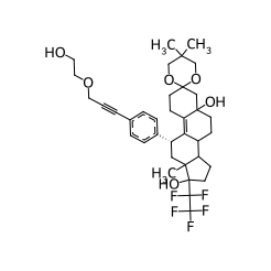 CC1(C)COC2(CCC3=C4C(CCC3(O)C2)C2CCC(O)(C(F)(F)C(F)(F)F)C2(C)C[C@@H]4c2ccc(C#CCOCCO)cc2)OC1